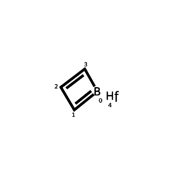 B1=CC=C1.[Hf]